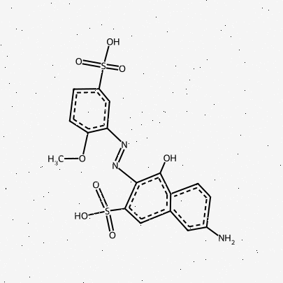 COc1ccc(S(=O)(=O)O)cc1N=Nc1c(S(=O)(=O)O)cc2cc(N)ccc2c1O